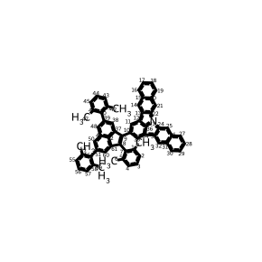 Cc1cccc(C)c1C1=C(c2cc3c4cc5ccccc5cc4n4c5cc6ccccc6cc5c(c2)c34)c2cc(-c3c(C)cccc3C)cc3cc(-c4c(C)cccc4C)cc1c23